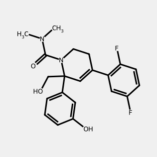 CN(C)C(=O)N1CCC(c2cc(F)ccc2F)=CC1(CO)c1cccc(O)c1